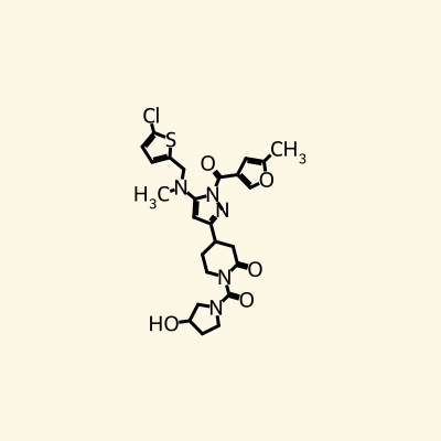 Cc1cc(C(=O)n2nc(C3CCN(C(=O)N4CCC(O)C4)C(=O)C3)cc2N(C)Cc2ccc(Cl)s2)co1